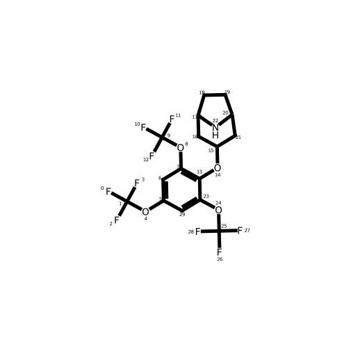 FC(F)(F)Oc1cc(OC(F)(F)F)c(OC2C[C]3CCC(C2)N3)c(OC(F)(F)F)c1